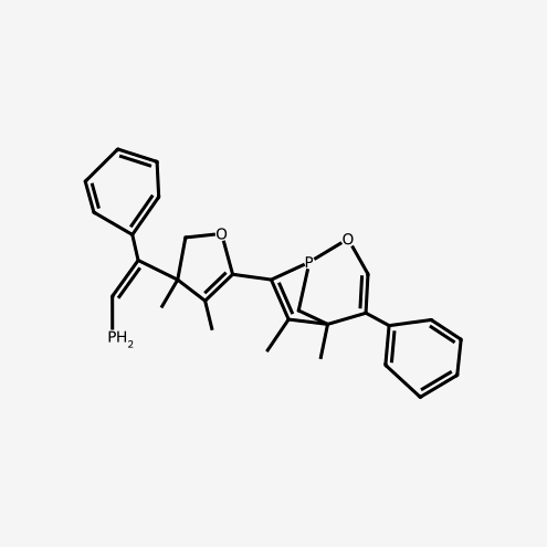 CC1=C(C2=C(C)C(C)(/C(=C\P)c3ccccc3)CO2)P2CC1(C)C(c1ccccc1)=CO2